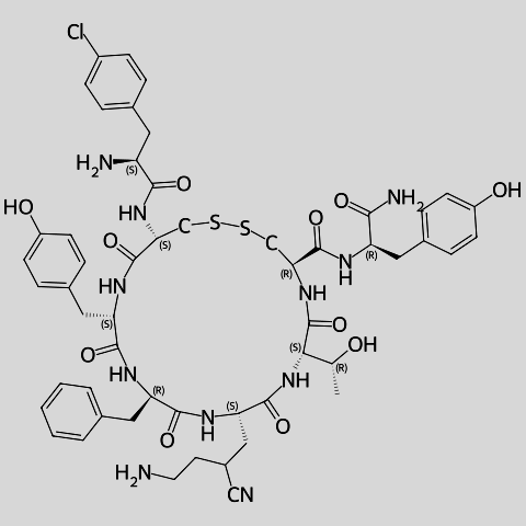 C[C@@H](O)[C@@H]1NC(=O)[C@H](CC(C#N)CCN)NC(=O)[C@@H](Cc2ccccc2)NC(=O)[C@H](Cc2ccc(O)cc2)NC(=O)[C@H](NC(=O)[C@@H](N)Cc2ccc(Cl)cc2)CSSC[C@@H](C(=O)N[C@H](Cc2ccc(O)cc2)C(N)=O)NC1=O